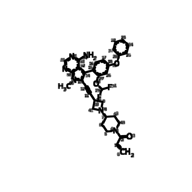 C=CC(=O)N1CCC(N2CC(C#Cc3c(-c4ccc(Oc5ccccc5)cc4OC(F)F)c4c(N)ncnc4n3C)C2)CC1